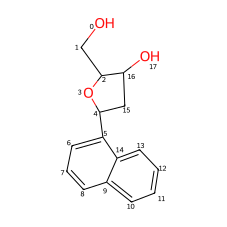 OCC1OC(c2cccc3ccccc23)CC1O